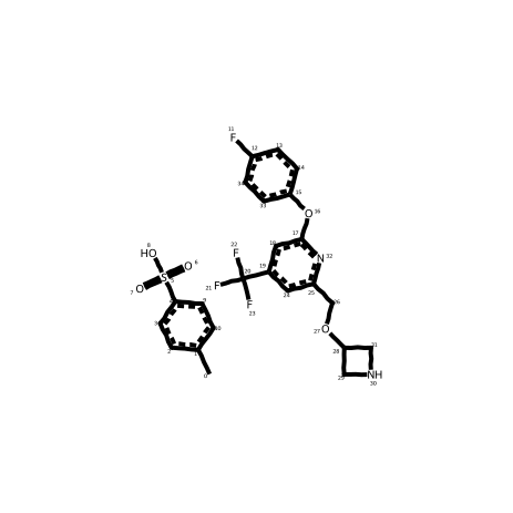 Cc1ccc(S(=O)(=O)O)cc1.Fc1ccc(Oc2cc(C(F)(F)F)cc(COC3CNC3)n2)cc1